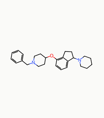 c1ccc(CN2CCC(Oc3cccc4c3CCC4N3CCCCC3)CC2)cc1